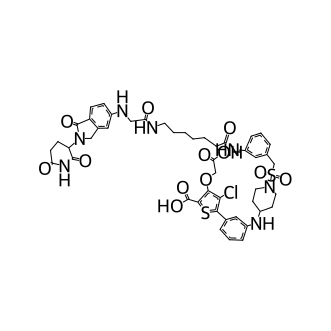 O=C(O)COc1c(C(=O)O)sc(-c2cccc(NC3CCN(S(=O)(=O)Cc4cccc(NC(=O)CCCCCCNC(=O)CNc5ccc6c(c5)CN(C5CCC(=O)NC5=O)C6=O)c4)CC3)c2)c1Cl